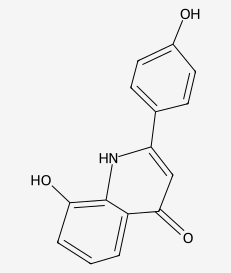 O=c1cc(-c2ccc(O)cc2)[nH]c2c(O)cccc12